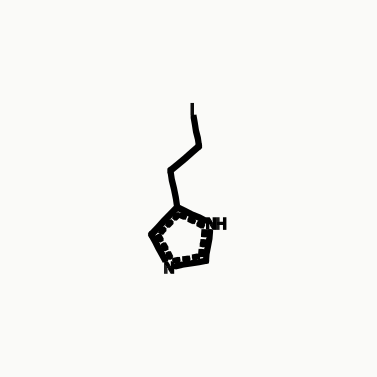 ICCc1cnc[nH]1